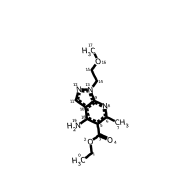 CCOC(=O)c1c(C)nc2c(cnn2CCOC)c1N